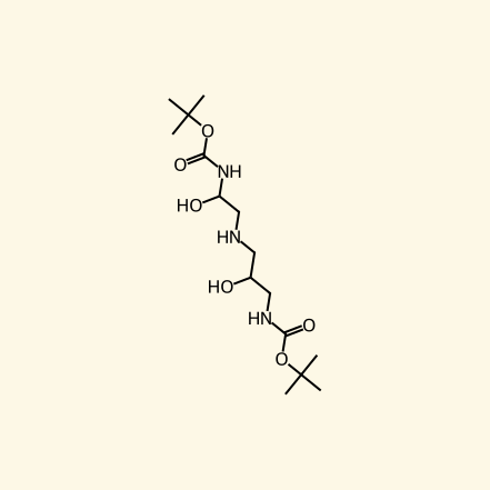 CC(C)(C)OC(=O)NCC(O)CNCC(O)NC(=O)OC(C)(C)C